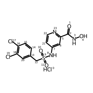 Cl.O=C(NO)c1cc(NS(=O)(=O)Cc2ccc(Cl)c(Cl)c2)ccn1